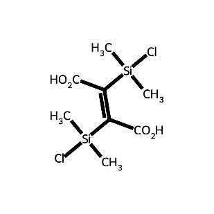 C[Si](C)(Cl)C(C(=O)O)=C(C(=O)O)[Si](C)(C)Cl